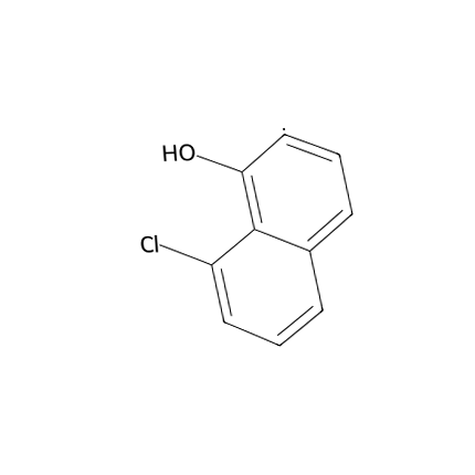 Oc1[c]ccc2cccc(Cl)c12